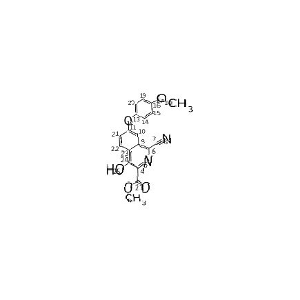 COC(=O)c1nc(C#N)c2cc(Oc3ccc(OC)cc3)ccc2c1O